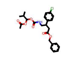 CC(=O)OC(OC(=O)NCC(CC(=O)OCc1ccccc1)c1ccc(Cl)cc1)C(C)C